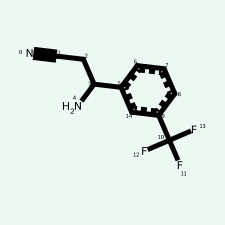 N#CCC(N)c1cccc(C(F)(F)F)c1